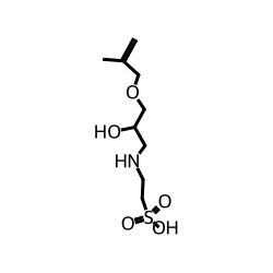 C=C(C)COCC(O)CNCCS(=O)(=O)O